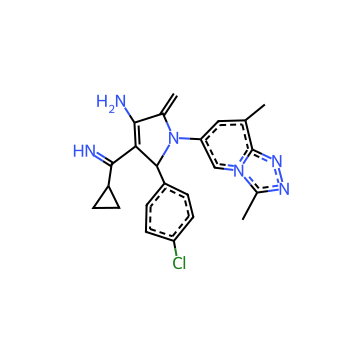 C=C1C(N)=C(C(=N)C2CC2)C(c2ccc(Cl)cc2)N1c1cc(C)c2nnc(C)n2c1